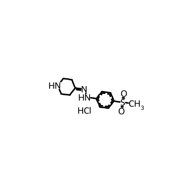 CS(=O)(=O)c1ccc(NN=C2CCNCC2)cc1.Cl